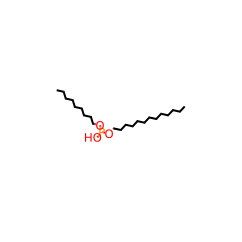 CCCCCCCCCCCCCOP(O)OCCCCCCCCC